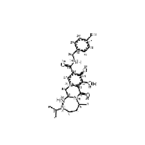 CC(C)N1CCC(C)N2C(=O)c3c(O)c(=O)c(C(=O)NCc4ccc(F)cc4)cn3CC2N1